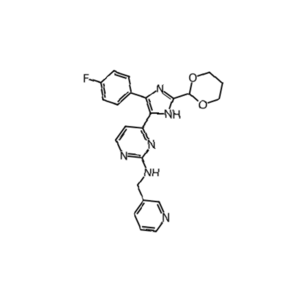 Fc1ccc(-c2nc(C3OCCCO3)[nH]c2-c2ccnc(NCc3cccnc3)n2)cc1